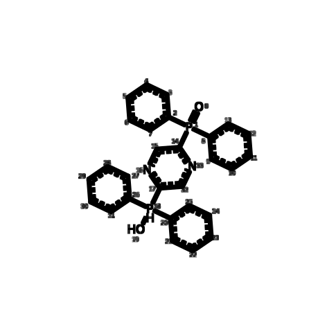 O=P(c1ccccc1)(c1ccccc1)c1cnc([PH](O)(c2ccccc2)c2ccccc2)cn1